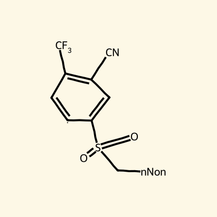 CCCCCCCCCCS(=O)(=O)c1[c]cc(C(F)(F)F)c(C#N)c1